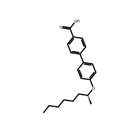 CCCCCC[C@H](C)Oc1ccc(-c2ccc(C(=O)O)cc2)cc1